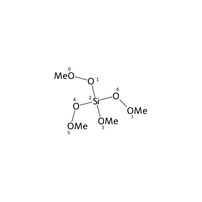 COO[Si](OC)(OOC)OOC